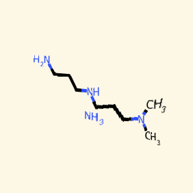 CN(C)CCCNCCCN.N